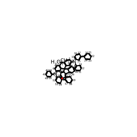 CC1(C)c2ccc(N(c3ccccc3)c3cccc(-c4ccccc4)c3)cc2C2(c3ccccc3-c3ccccc32)c2cc(N(c3ccccc3)c3cccc(-c4ccccc4)c3)ccc21